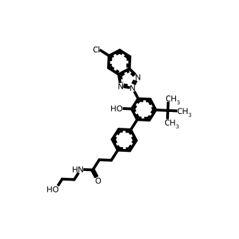 CC(C)(C)c1cc(-c2ccc(CCC(=O)NCCO)cc2)c(O)c(-n2nc3ccc(Cl)cc3n2)c1